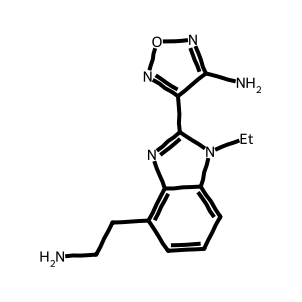 CCn1c(-c2nonc2N)nc2c(CCN)cccc21